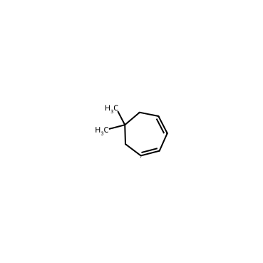 CC1(C)C[C]=CC=CC1